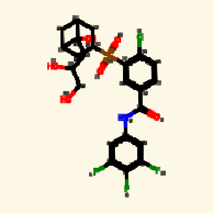 O=C(Nc1cc(F)c(F)c(F)c1)c1ccc(Cl)c(S(=O)(=O)C2CC3CC(C2)C3(O)CC(O)CO)c1